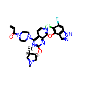 C=CC(=O)N1CCN(c2nc(O[C@@H]3CN(C)C[C@H]3CC)nc3c(Oc4c(Cl)c(F)cc5[nH]ncc45)nccc23)CC1